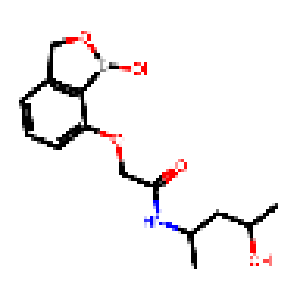 CC(O)CC(C)NC(=O)COc1cccc2c1B(O)OC2